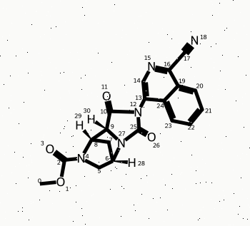 COC(=O)N1C[C@@H]2C[C@H]1[C@@H]1C(=O)N(c3cnc(C#N)c4ccccc34)C(=O)N21